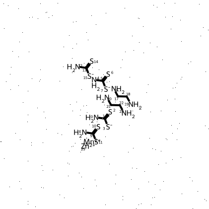 NC(=S)[S-].NC(=S)[S-].NC(=S)[S-].NC(=S)[S-].NCCN.NCCN.[Mn+2].[Zn+2]